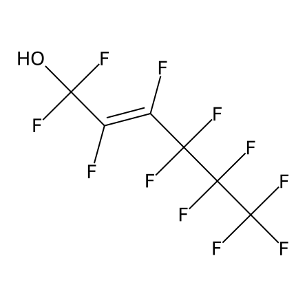 OC(F)(F)C(F)=C(F)C(F)(F)C(F)(F)C(F)(F)F